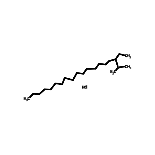 CCCCCCCCCCCCCCCCC(CC)N(C)C.Cl